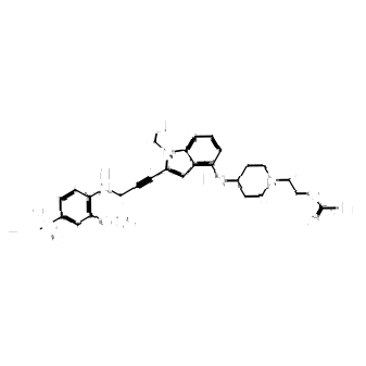 COc1cc(S(C)(=O)=O)ccc1NCC#Cc1cc2c(NC3CCN(CCOC(=O)C(C)C)CC3)cccc2n1CC(F)(F)F